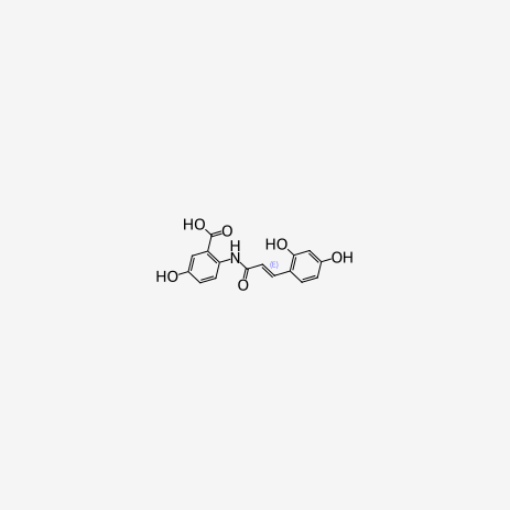 O=C(/C=C/c1ccc(O)cc1O)Nc1ccc(O)cc1C(=O)O